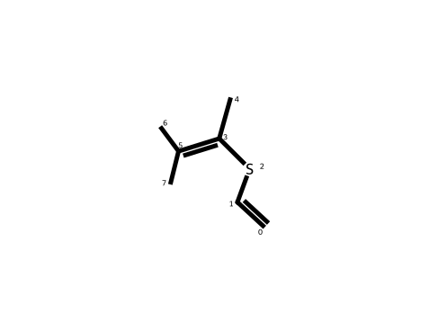 C=CSC(C)=C(C)C